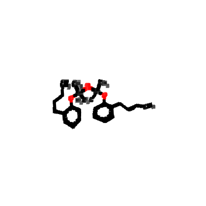 CCCCc1ccccc1[O][Sn]([CH3])([CH3])[O][Sn]([CH3])([CH3])[O]c1ccccc1CCCC